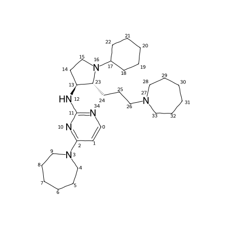 c1cc(N2CCCCCC2)nc(N[C@H]2CCN(C3CCCCC3)[C@@H]2CCCN2CCCCCC2)n1